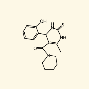 CC1=C(C(=O)N2CCCCC2)C(c2ccccc2O)NC(=S)N1